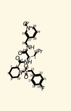 CC(C)C[C@H](NC(=O)[C@@H]1CCCCN1S(=O)(=O)Cc1ccc(F)cc1)C(=O)NCc1ccc[n+]([O-])c1